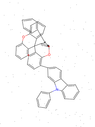 c1ccc(-c2cccc3c2C2(c4ccccc4Oc4ccccc42)c2cccc(-c4ccc5c6ccccc6n(-c6ccccc6)c5c4)c2O3)cc1